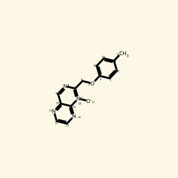 Cc1ccc(OCc2ncc3nccnc3[n+]2[O-])cc1